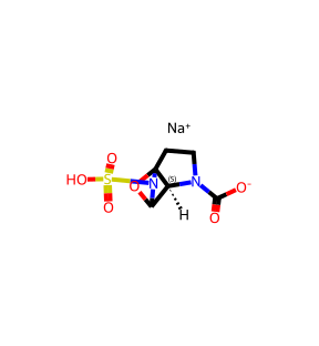 O=C([O-])N1CCC23OC([C@H]12)N3S(=O)(=O)O.[Na+]